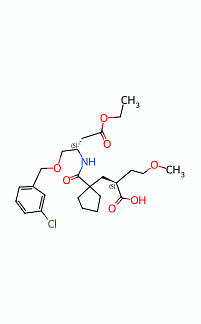 CCOC(=O)C[C@@H](COCc1cccc(Cl)c1)NC(=O)C1(C[C@@H](CCOC)C(=O)O)CCCC1